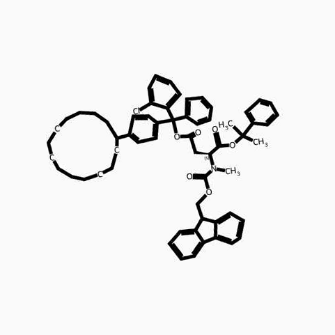 CN(C(=O)OCC1c2ccccc2-c2ccccc21)[C@@H](CC(=O)OC(c1ccccc1)(c1ccc(C2CCCCCCCCCCCCC2)cc1)c1ccccc1Cl)C(=O)OC(C)(C)c1ccccc1